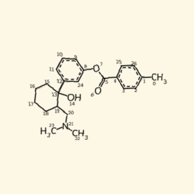 Cc1ccc(C(=O)Oc2cccc(C3(O)CCCCC3CN(C)C)c2)cc1